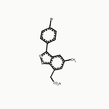 Cc1cc(CC(=O)O)c2noc(-c3ccc(Br)cc3)c2c1